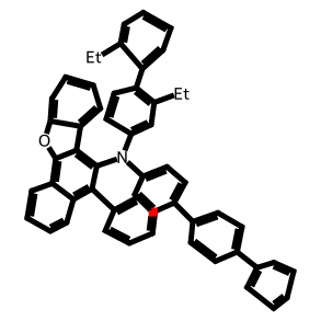 CCc1ccccc1-c1ccc(N(c2ccc(-c3ccc(-c4ccccc4)cc3)cc2)c2c(-c3ccccc3)c3ccccc3c3oc4ccccc4c23)cc1CC